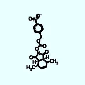 CC1C=C[C@@H](C)[C@H]2C(=O)N(OC(=O)OCc3ccc([N+](=O)[O-])cc3)C(=O)[C@@H]12